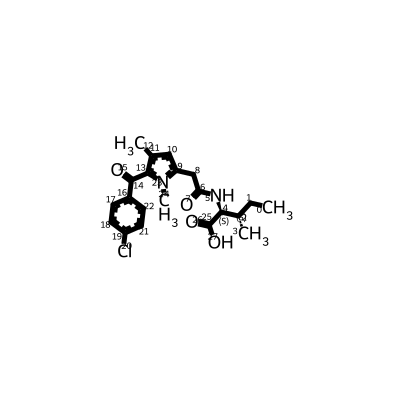 CC[C@H](C)[C@H](NC(=O)Cc1cc(C)c(C(=O)c2ccc(Cl)cc2)n1C)C(=O)O